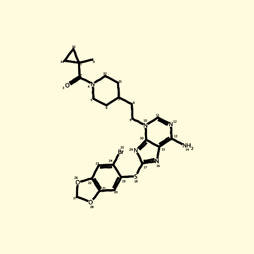 CC1(C(=O)N2CCC(CCn3cnc(N)c4nc(Sc5cc6c(cc5Br)OCO6)nc3-4)CC2)CC1